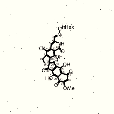 CCCCCCON=Cc1cc2c(Cl)c3c(c(O)c2c(=O)[nH]1)[C@@]1(CC3)C(=O)c2c(O)c3c(c(O)c2C1=O)C(=O)C(OC)=CC3=O